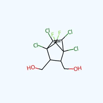 OCC1C(CO)C2(Cl)C(Cl)=C(Cl)C1(Cl)C2(F)F